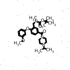 COc1cccc(Oc2ccc(C(=O)N3CCN(C(C)C)CC3)cc2CN(C)C(=O)OC(C)(C)C)c1